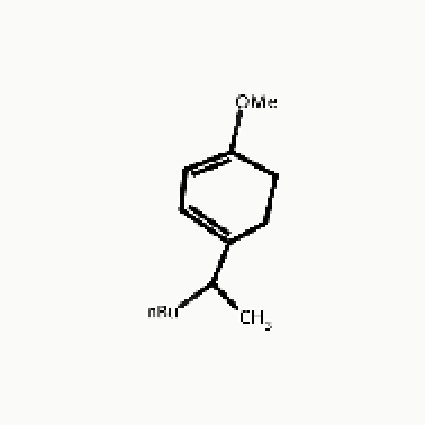 CCCCC(C)C1=CC=C(OC)CC1